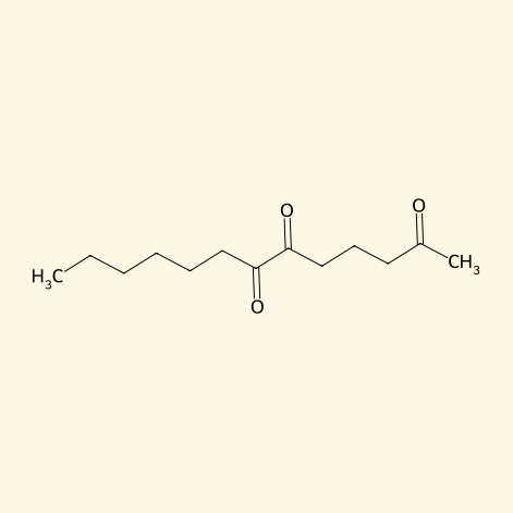 CCCCCCC(=O)C(=O)CCCC(C)=O